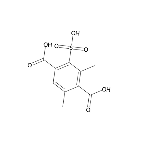 Cc1cc(C(=O)O)c(S(=O)(=O)O)c(C)c1C(=O)O